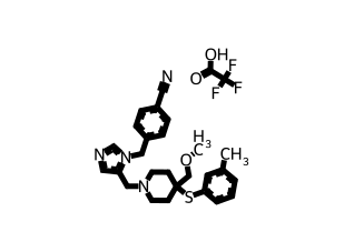 COCC1(Sc2cccc(C)c2)CCN(Cc2cncn2Cc2ccc(C#N)cc2)CC1.O=C(O)C(F)(F)F